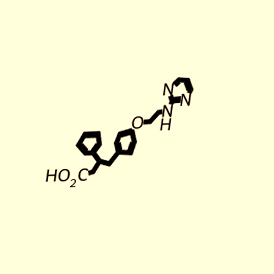 O=C(O)CC(Cc1ccc(OCCNc2ncccn2)cc1)c1ccccc1